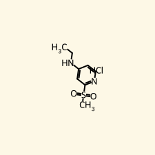 CCNc1ccnc(S(C)(=O)=O)c1.Cl